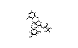 Cc1cccc(CC2CC(OC(=O)C(C)(C)C)=C(c3c(C)cc(C)cc3C)C2=O)c1